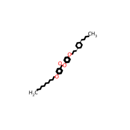 C=CCCCCCCCCOc1ccc(C(=O)Oc2ccc(OCCC[C@H]3CC[C@H](CCCCC)CC3)cc2)cc1